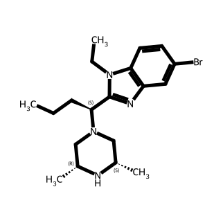 CCC[C@@H](c1nc2cc(Br)ccc2n1CC)N1C[C@@H](C)N[C@@H](C)C1